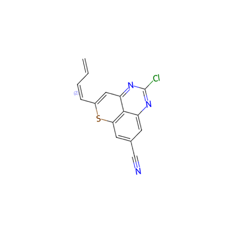 C=C/C=C\C1=Cc2nc(Cl)nc3cc(C#N)cc(c23)S1